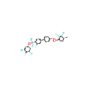 Cc1ccc(OCc2ccc(-c3ccc(C(F)(F)Oc4cc(F)c(F)c(F)c4)c(F)c3)cc2)c(F)c1F